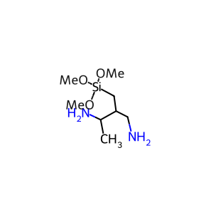 CO[Si](CC(CN)C(C)N)(OC)OC